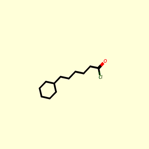 O=C(Cl)CCCCCC1CCCCC1